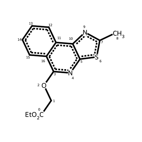 CCOC(=O)COc1nc2sc(C)nc2c2ccccc12